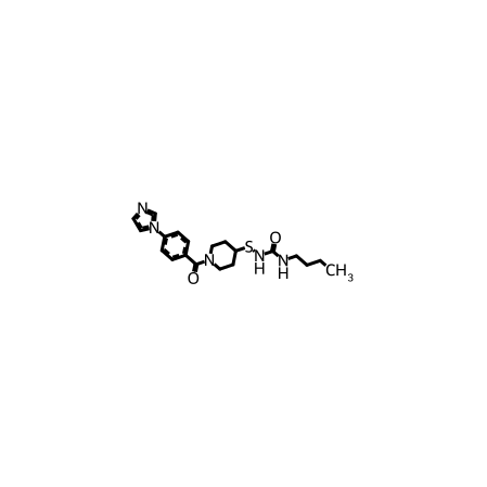 CCCCNC(=O)NSC1CCN(C(=O)c2ccc(-n3ccnc3)cc2)CC1